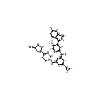 Cc1ccc2c(-c3nc(Nc4cc(CN5CCC(N6CCC(O)C6)CC5)cc(C5CC5)c4)ncc3Cl)c[nH]c2c1